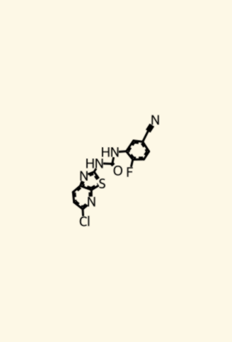 N#Cc1ccc(F)c(NC(=O)Nc2nc3ccc(Cl)nc3s2)c1